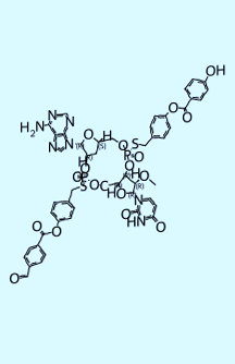 CO[C@@H]1[C@@H]2OP(=O)(SCc3ccc(OC(=O)c4ccc(O)cc4)cc3)OC[C@@H]3C[C@@H](OP(=O)(SCc4ccc(OC(=O)c5ccc(C=O)cc5)cc4)OC[C@H]2O[C@H]1n1ccc(=O)[nH]c1=O)[C@H](n1cnc2c(N)ncnc21)O3